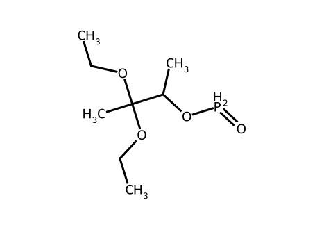 CCOC(C)(OCC)C(C)O[PH2]=O